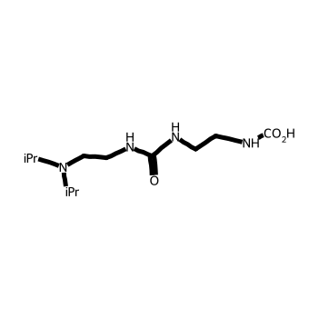 CC(C)N(CCNC(=O)NCCNC(=O)O)C(C)C